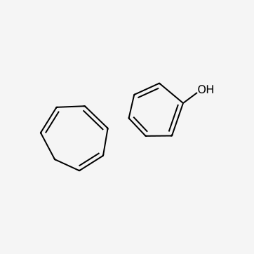 C1=CC=CCC=C1.Oc1ccccc1